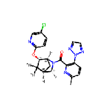 [2H]C1([2H])[C@H]2C[C@@H]([C@@H]1Oc1ccc(Cl)cn1)N(C(=O)c1nc(C)ccc1-n1nccn1)[C@@H]2C